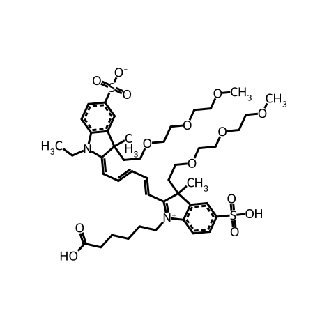 CCN1/C(=C/C=C/C=C/C2=[N+](CCCCCC(=O)O)c3ccc(S(=O)(=O)O)cc3C2(C)CCOCCOCCOC)C(C)(CCOCCOCCOC)c2cc(S(=O)(=O)[O-])ccc21